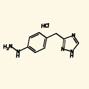 Cl.NNc1ccc(Cc2nc[nH]n2)cc1